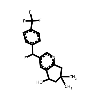 CC1(C)Cc2ncc(C(F)c3ccc(C(F)(F)F)cc3)cc2C(O)C1